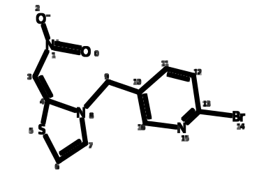 O=[N+]([O-])/C=C1/SC=CN1Cc1ccc(Br)nc1